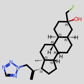 C=C(Cn1ncnn1)[C@H]1CC[C@H]2[C@@H]3CC[C@@H]4C[C@@](O)(CF)CC[C@@H]4[C@H]3CC[C@]12C